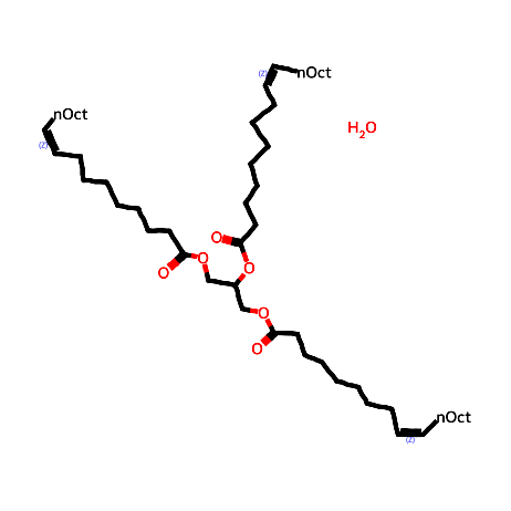 CCCCCCCC/C=C\CCCCCCCC(=O)OCC(COC(=O)CCCCCCC/C=C\CCCCCCCC)OC(=O)CCCCCCC/C=C\CCCCCCCC.O